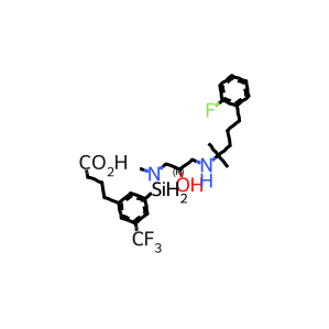 CN(C[C@H](O)CNC(C)(C)CCCc1ccccc1F)[SiH2]c1cc(CCCC(=O)O)cc(C(F)(F)F)c1